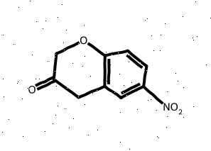 O=C1COc2ccc([N+](=O)[O-])cc2C1